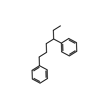 CCC(CCCc1ccccc1)c1ccccc1